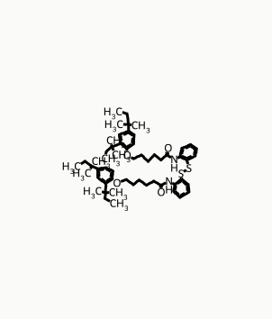 CCC(C)(C)c1ccc(OCCCCCC(=O)Nc2ccccc2SSc2ccccc2NC(=O)CCCCCOc2ccc(C(C)(C)CC)cc2C(C)(C)CC)c(C(C)(C)CC)c1